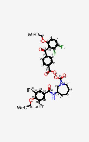 COCOc1ccc(F)c(F)c1C(=O)c1ccc(C(=O)OOC(=O)N2CCCCC(NC(=O)c3cc(C(C)C)c(OCOC)c(C(C)C)c3)C2)cc1